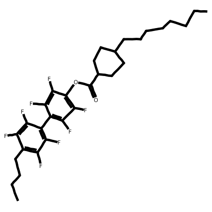 CCCCCCCCC1CCC(C(=O)Oc2c(F)c(F)c(-c3c(F)c(F)c(CCCC)c(F)c3F)c(F)c2F)CC1